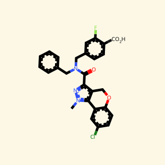 Cn1nc(C(=O)N(Cc2ccccc2)Cc2ccc(C(=O)O)c(F)c2)c2c1-c1cc(Cl)ccc1OC2